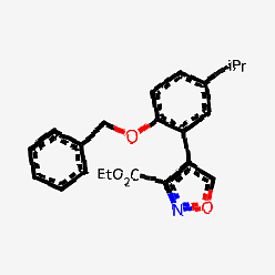 CCOC(=O)c1nocc1-c1cc(C(C)C)ccc1OCc1ccccc1